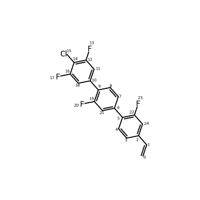 C=Cc1ccc(-c2ccc(-c3cc(F)c(Cl)c(F)c3)c(F)c2)c(F)c1